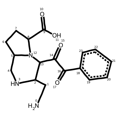 NCC1NCC2CCC(C(=O)O)N2C1C(=O)C(=O)c1ccccc1